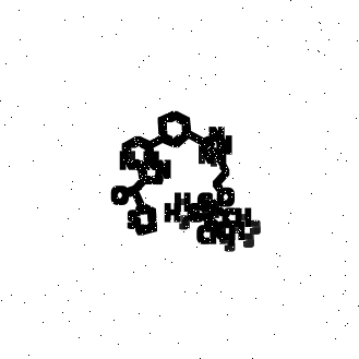 CC(C)(C)[Si](C)(C)OCCn1nnc(-c2cccc(-c3ccnc4c(C(=O)c5cccs5)cnn34)c2)n1